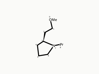 COCC[C@@H]1CCCN1C(C)C